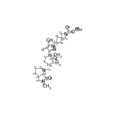 Cc1c(I)c(N2CC[C@@H](CN3CCCC4CN(C)C(=O)C43)CC2(C)C)nn1C1CC2(C1)CN(C(=O)OC(C)(C)C)C2